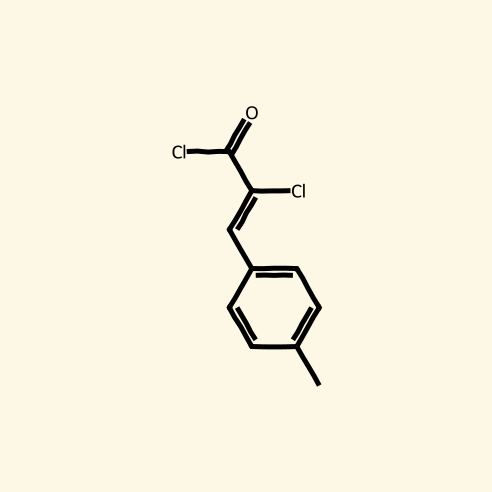 Cc1ccc(C=C(Cl)C(=O)Cl)cc1